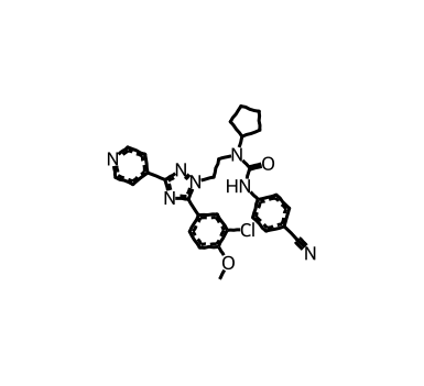 COc1ccc(-c2nc(-c3ccncc3)nn2CCN(C(=O)Nc2ccc(C#N)cc2)C2CCCC2)cc1Cl